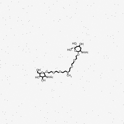 CC(=O)NC1CC(O)[C@@H](O)[C@@H](CO)O[C@H]1OCCOCCOCCN(C)CCOCCOCCO[C@@H]1OC(CO)[C@H](O)C(O)C1NC(C)=O